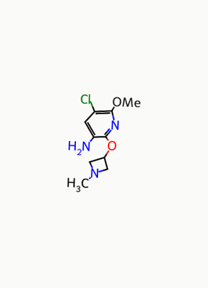 COc1nc(OC2CN(C)C2)c(N)cc1Cl